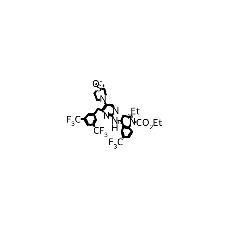 CCOC(=O)N1c2ccc(C(F)(F)F)cc2[C@@H](Nc2ncc(N3CC[S+]([O-])CC3)c(Cc3cc(C(F)(F)F)cc(C(F)(F)F)c3)n2)C[C@H]1CC